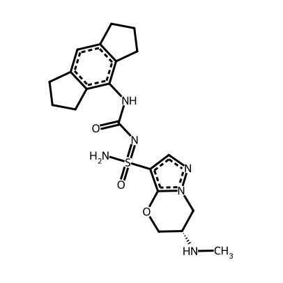 CN[C@@H]1COc2c(S(N)(=O)=NC(=O)Nc3c4c(cc5c3CCC5)CCC4)cnn2C1